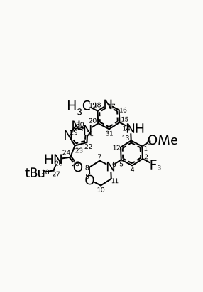 COc1c(F)cc(N2CCOCC2)cc1Nc1cnc(C)c(-n2cc(C(=O)NCC(C)(C)C)nn2)c1